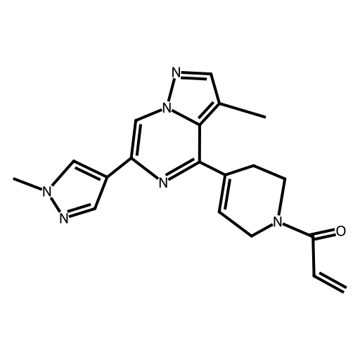 C=CC(=O)N1CC=C(c2nc(-c3cnn(C)c3)cn3ncc(C)c23)CC1